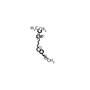 C=C/C=C(\C=C/C)N1CCN(CCCCC2CCc3cc(/C=N/OCC)ccc3O2)[S+]1[O-]